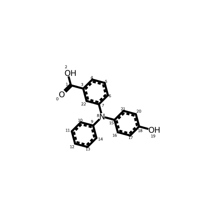 O=C(O)c1cccc(N(c2ccccc2)c2ccc(O)cc2)c1